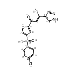 O=C(C=C(O)c1nn[nH]n1)c1cc(S(=O)(=O)c2ccc(Cl)cc2)co1